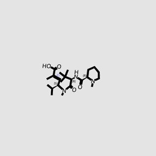 C/C(=C\[C@H](C(C)C)N(C)C(=O)[C@H](NC(=O)[C@H]1CCCCN1C)C(C)(C)C)C(=O)O